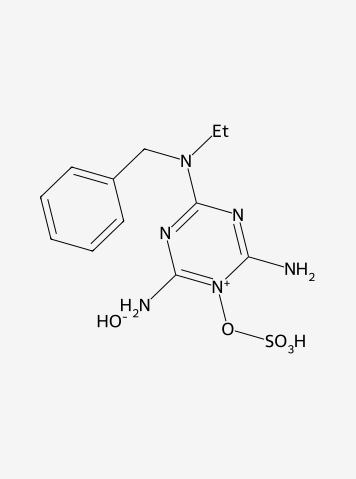 CCN(Cc1ccccc1)c1nc(N)[n+](OS(=O)(=O)O)c(N)n1.[OH-]